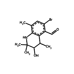 Cc1cc(Br)c(C=O)c2c1NC(C)(C)C(O)C2C